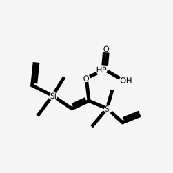 C=C[Si](C)(C)C=C(O[PH](=O)O)[Si](C)(C)C=C